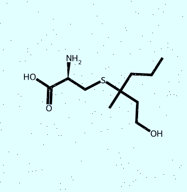 CCCC(C)(CCO)SC[C@H](N)C(=O)O